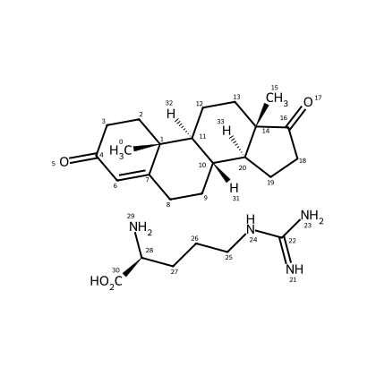 C[C@]12CCC(=O)C=C1CC[C@@H]1[C@@H]2CC[C@]2(C)C(=O)CC[C@@H]12.N=C(N)NCCC[C@H](N)C(=O)O